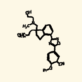 CC(C)OC1C=CC(c2nc(-c3cccc4c3CCC4(CCC=O)CN(C)CCO)no2)=CC1C#N